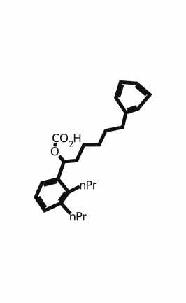 CCCc1cccc(C(CCCCCc2ccccc2)OC(=O)O)c1CCC